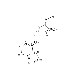 CCCN1C[C@@H](COc2cccc3ccccc23)OC1=O